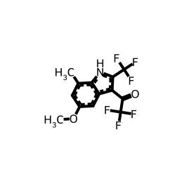 COc1cc(C)c2[nH]c(C(F)(F)F)c(C(=O)C(F)(F)F)c2c1